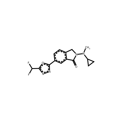 CN(C1CC1)N1Cc2ccc(-c3nnc(C(F)F)o3)cc2C1=O